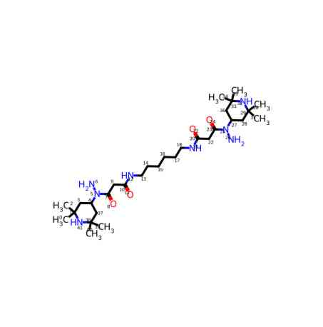 CC1(C)CC(N(N)C(=O)CC(=O)NCCCCCCNC(=O)CC(=O)N(N)C2CC(C)(C)NC(C)(C)C2)CC(C)(C)N1